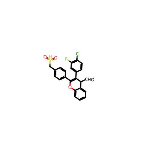 O=CC1C(c2ccc(Cl)c(F)c2)=C(c2ccc(C[SH](=O)=O)cc2)Oc2ccccc21